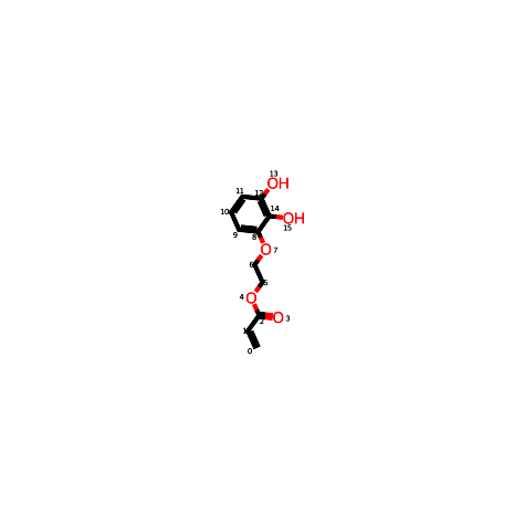 C=CC(=O)OCCOc1cccc(O)c1O